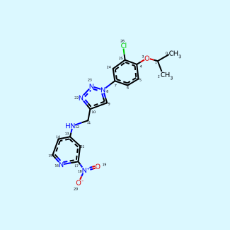 CC(C)Oc1ccc(-n2cc(CNc3ccnc([N+](=O)[O-])c3)nn2)cc1Cl